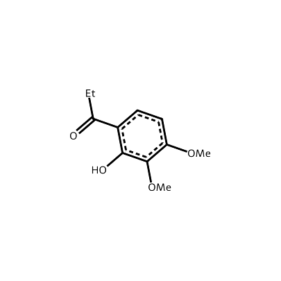 CCC(=O)c1ccc(OC)c(OC)c1O